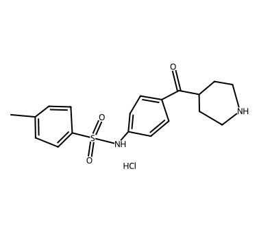 Cc1ccc(S(=O)(=O)Nc2ccc(C(=O)C3CCNCC3)cc2)cc1.Cl